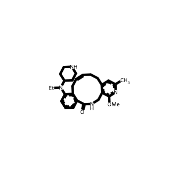 CCN(c1cccc2c1CC=CCCc1cc(C)nc(OC)c1CNC2=O)C1CCNCC1